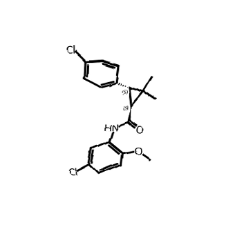 COc1ccc(Cl)cc1NC(=O)[C@H]1[C@H](c2ccc(Cl)cc2)C1(C)C